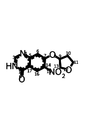 O=c1[nH]cnc2cc(OC3CCOC3)c([N+](=O)[O-])cc12